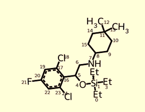 CC[Si](CC)(CC)OC(CNC1CCC(C)(C)CC1)c1c(Cl)cc(F)cc1Cl